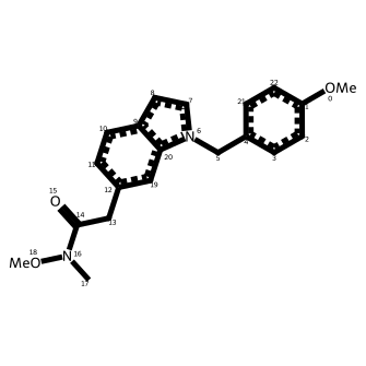 COc1ccc(Cn2ccc3ccc(CC(=O)N(C)OC)cc32)cc1